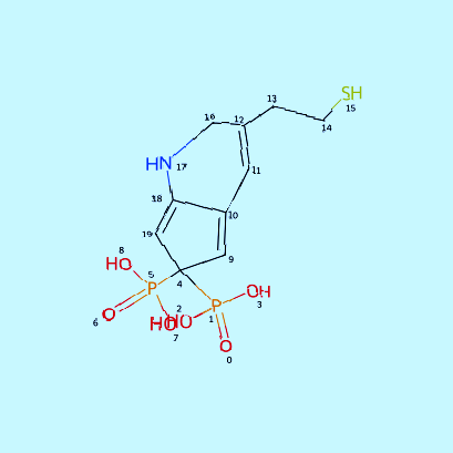 O=P(O)(O)C1(P(=O)(O)O)C=C2C=C(CCS)CNC2=C1